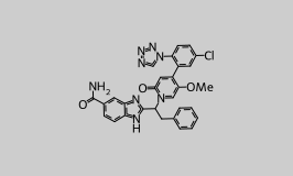 COc1cn(C(Cc2ccccc2)c2nc3cc(C(N)=O)ccc3[nH]2)c(=O)cc1-c1cc(Cl)ccc1-n1cnnn1